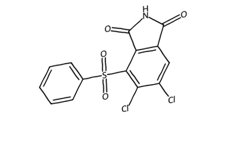 O=C1NC(=O)c2c1cc(Cl)c(Cl)c2S(=O)(=O)c1ccccc1